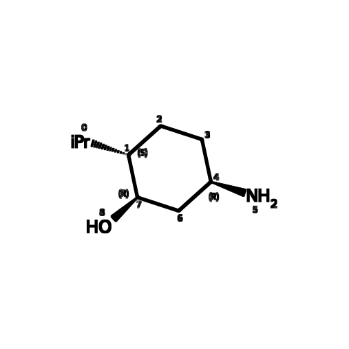 CC(C)[C@@H]1CC[C@@H](N)C[C@H]1O